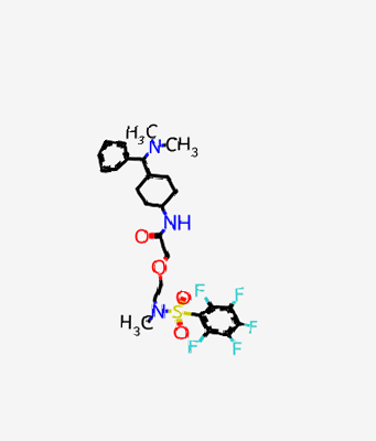 CN(C)C(c1ccccc1)C1CCC(NC(=O)COCCN(C)S(=O)(=O)c2c(F)c(F)c(F)c(F)c2F)CC1